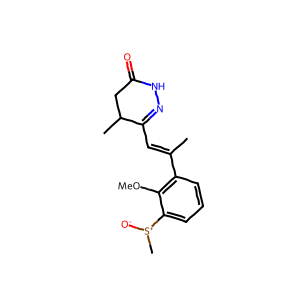 COc1c(C(C)=CC2=NNC(=O)CC2C)cccc1[S+](C)[O-]